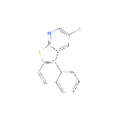 Clc1cnc2sc3ccc4ccccc4c3c2c1